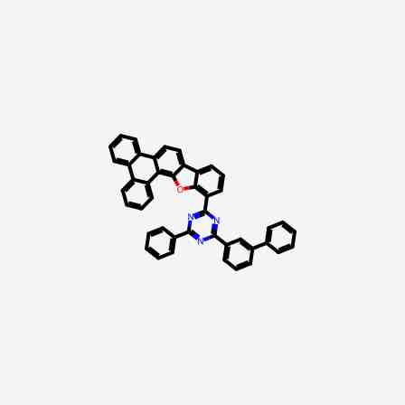 c1ccc(-c2cccc(-c3nc(-c4ccccc4)nc(-c4cccc5c4oc4c5ccc5c6ccccc6c6ccccc6c54)n3)c2)cc1